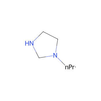 CC[CH]N1CCNC1